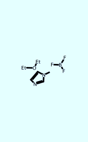 CCOCC.Cn1ccnc1.FB(F)F